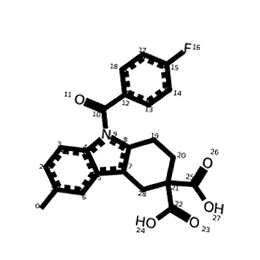 Cc1ccc2c(c1)c1c(n2C(=O)c2ccc(F)cc2)CCC(C(=O)O)(C(=O)O)C1